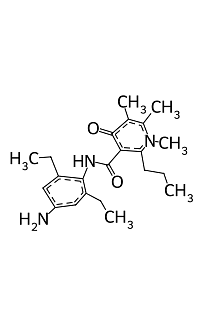 CCCc1c(C(=O)Nc2c(CC)cc(N)cc2CC)c(=O)c(C)c(C)n1C